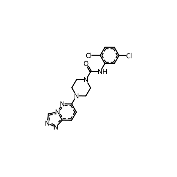 O=C(Nc1cc(Cl)ccc1Cl)N1CCN(c2ccc3nncn3n2)CC1